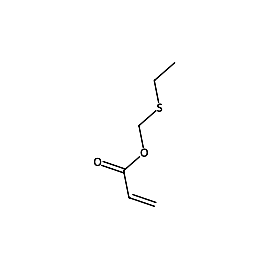 C=CC(=O)OCSCC